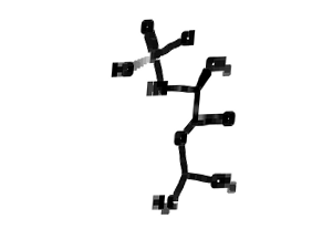 CC(C)OC(=O)[C@H](C)N[P@](=O)(O)Cl